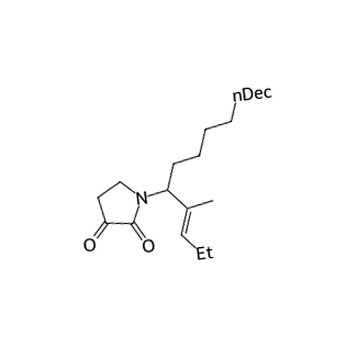 CCC=C(C)C(CCCCCCCCCCCCCC)N1CCC(=O)C1=O